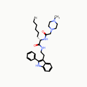 CC(=O)CCCCC[C@H](NC(=O)CN1CCN(C)CC1)C(=O)NCCc1c(-c2ccccc2)[nH]c2ccccc12